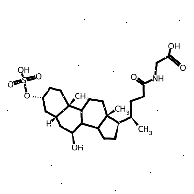 C[C@H](CCC(=O)NCC(=O)O)[C@H]1CCC2C3C(CC[C@@]21C)[C@@]1(C)CC[C@@H](OS(=O)(=O)O)C[C@H]1C[C@@H]3O